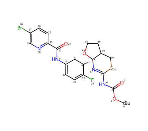 CC(C)(C)OC(=O)NC1=N[C@@]2(C3CC(NC(=O)c4ccc(Br)cn4)=CC=C3F)OCCC2CS1